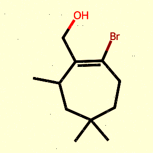 CC1CC(C)(C)CCC(Br)=C1CO